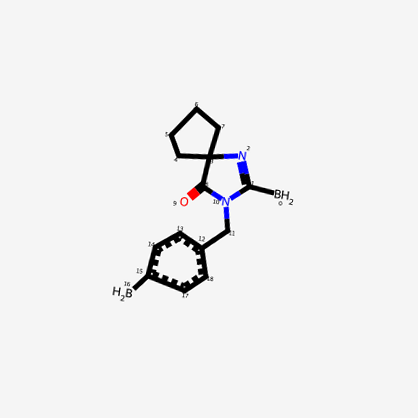 BC1=NC2(CCCC2)C(=O)N1Cc1ccc(B)cc1